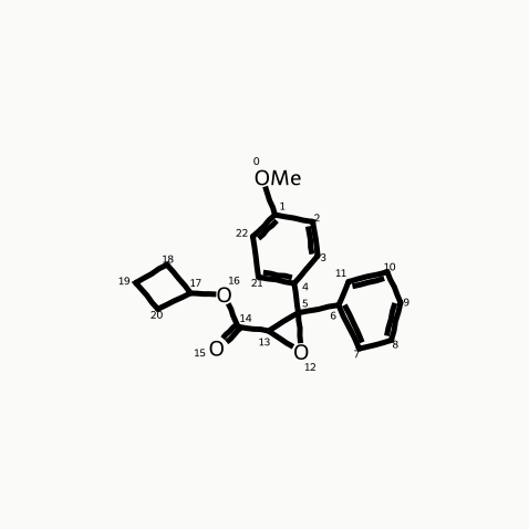 COc1ccc(C2(c3ccccc3)OC2C(=O)OC2CCC2)cc1